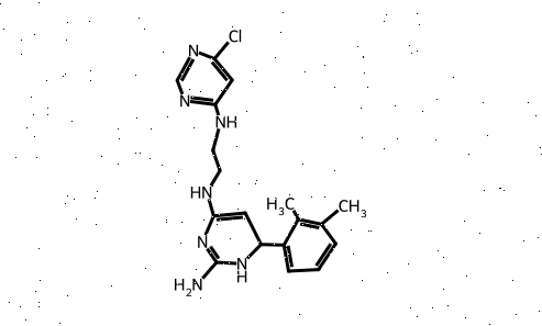 Cc1cccc(C2C=C(NCCNc3cc(Cl)ncn3)N=C(N)N2)c1C